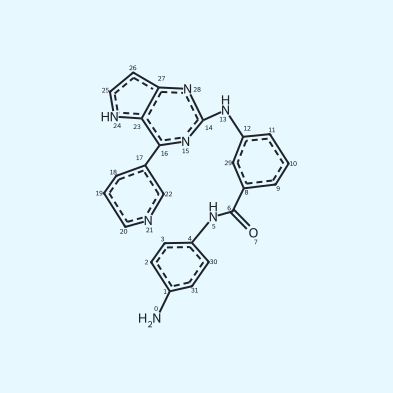 Nc1ccc(NC(=O)c2cccc(Nc3nc(-c4cccnc4)c4[nH]ccc4n3)c2)cc1